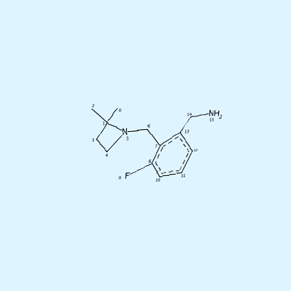 CC1(C)CCN1Cc1c(F)cccc1CN